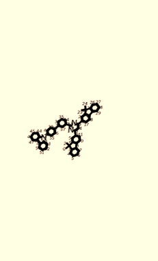 CC1(C)c2ccccc2-c2ccc(-c3cc(-c4ccc5c(c4)C(C)(C)c4ccccc4-5)nc(-c4cccc(-c5ccc(-n6c7ccccc7c7ccccc76)cc5)c4)n3)cc21